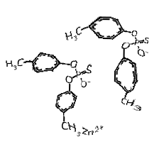 Cc1ccc(OP([O-])(=S)Oc2ccc(C)cc2)cc1.Cc1ccc(OP([O-])(=S)Oc2ccc(C)cc2)cc1.[Zn+2]